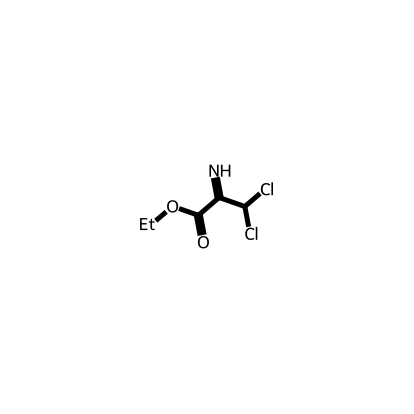 CCOC(=O)C(=N)C(Cl)Cl